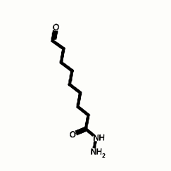 NNC(=O)CCCCCCCC=O